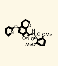 COc1cccc(OC)c1S(=O)(=O)Nc1noc2cc(Oc3ccccn3)c3c(c12)OCCC3